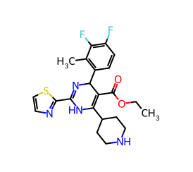 CCOC(=O)C1=C(C2CCNCC2)NC(c2nccs2)=NC1c1ccc(F)c(F)c1C